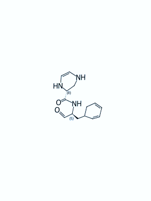 O=C[C@H](CC1C=CC=CC1)NC(=O)[C@H]1CNC=CN1